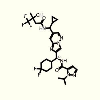 CC(C)n1nccc1C(=O)N[C@H](c1cn2ncc(C(NC(=O)CC(C)(O)C(F)(F)F)C3CC3)cc2n1)C1CCC(F)(F)CC1